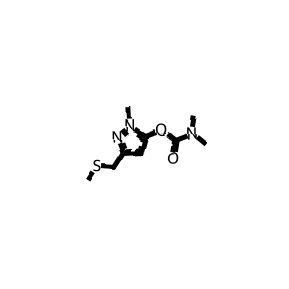 CSCc1cc(OC(=O)N(C)C)n(C)n1